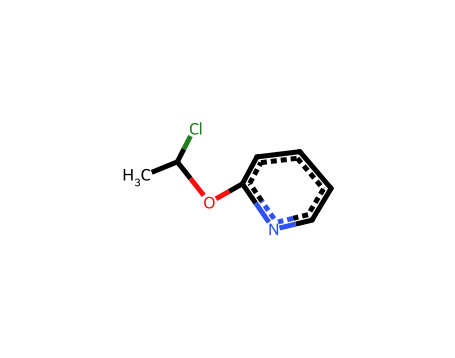 CC(Cl)Oc1ccccn1